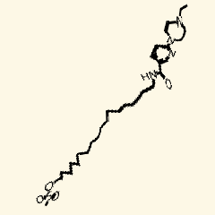 CCN1CCN(c2ccc(C(=O)NCCCCCCCCCCCCCCCCCOS(C)(=O)=O)cn2)CC1